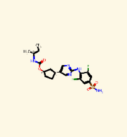 C[C@@H](CC(F)(F)F)NC(=O)O[C@@H]1CC[C@H](c2cnc(Nc3c(F)cc(S(N)(=O)=O)cc3F)nc2)C1